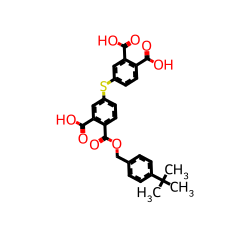 CC(C)(C)c1ccc(COC(=O)c2ccc(Sc3ccc(C(=O)O)c(C(=O)O)c3)cc2C(=O)O)cc1